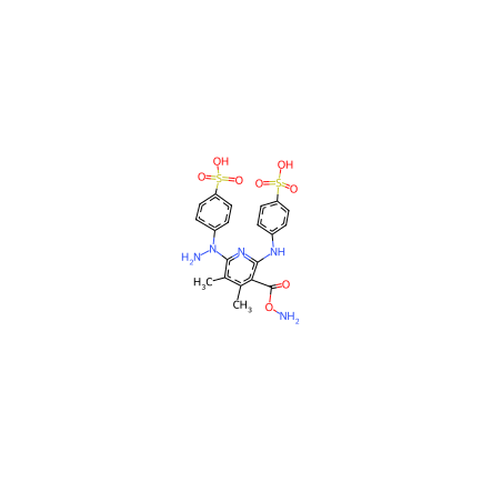 Cc1c(N(N)c2ccc(S(=O)(=O)O)cc2)nc(Nc2ccc(S(=O)(=O)O)cc2)c(C(=O)ON)c1C